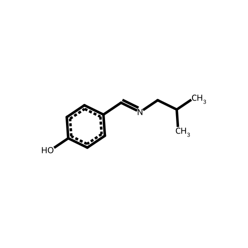 CC(C)CN=Cc1ccc(O)cc1